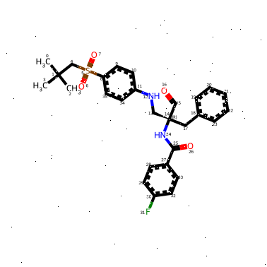 CC(C)(C)CS(=O)(=O)c1ccc(NC[C@@](C=O)(Cc2ccccc2)NC(=O)c2ccc(F)cc2)cc1